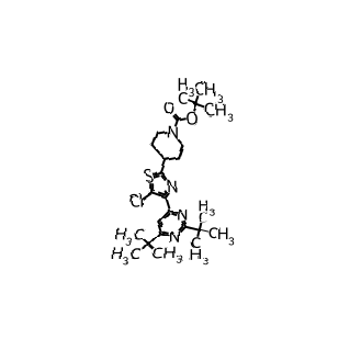 CC(C)(C)OC(=O)N1CCC(c2nc(-c3cc(C(C)(C)C)nc(C(C)(C)C)n3)c(Cl)s2)CC1